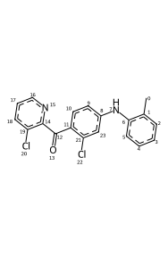 Cc1ccccc1Nc1ccc(C(=O)c2ncccc2Cl)c(Cl)c1